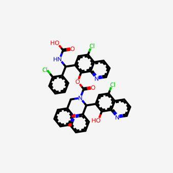 O=C(O)NC(c1ccccc1Cl)c1cc(Cl)c2cccnc2c1OC(=O)N(Cc1ccccc1)C(c1ccccn1)c1cc(Cl)c2cccnc2c1O